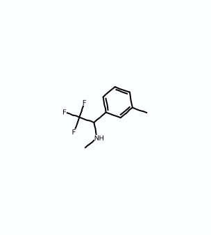 CNC(c1cccc(C)c1)C(F)(F)F